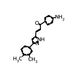 Cc1ccc(-c2cc(C=CC(=O)c3ccc(N)cc3)[nH]n2)cc1C